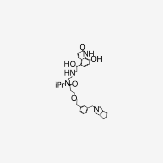 CC(C)N(CCNCC(O)c1ccc(O)c2[nH]c(=O)ccc12)C(=O)CCOCCc1cccc(CN2CC3CCCC3C2)c1